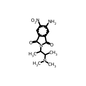 CC(C(C)N1C(=O)c2cc(N)c([N+](=O)[O-])cc2C1=O)N(C)C